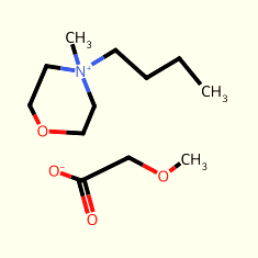 CCCC[N+]1(C)CCOCC1.COCC(=O)[O-]